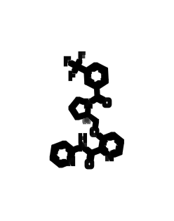 O=C(Nc1ccccn1)c1ncccc1OC[C@H]1CCCN1C(=O)c1cccc(C(F)(F)F)c1